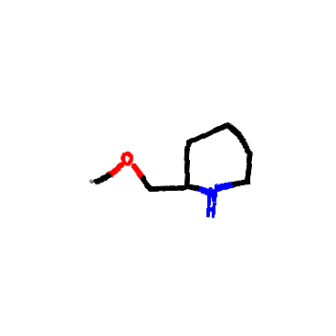 [CH2]OCC1CCCCN1